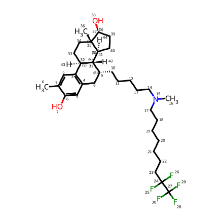 Cc1cc2c(cc1O)C[C@@H](CCCCCN(C)CCCCCCCC(F)(F)C(F)(F)F)[C@@H]1[C@@H]2CC[C@]2(C)[C@@H](O)CC[C@@H]12